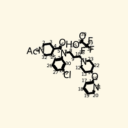 CC(=O)N1CCC(C(=O)N(CCCN2CCC(Oc3ccccn3)CC2)c2cccc(Cl)c2)CC1.O=C(O)C(F)(F)F